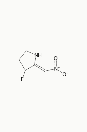 O=[N+]([O-])/C=C1\NCCC1F